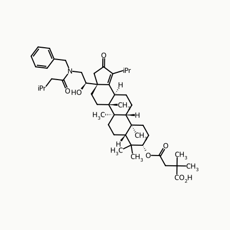 CC(C)CC(=O)N(Cc1ccccc1)C[C@H](O)[C@@]12CC[C@]3(C)[C@H](CC[C@@H]4[C@@]5(C)CC[C@H](OC(=O)CC(C)(C)C(=O)O)C(C)(C)[C@@H]5CC[C@]43C)C1=C(C(C)C)C(=O)C2